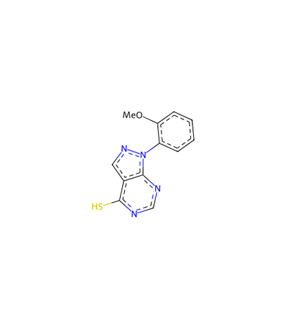 COc1ccccc1-n1ncc2c(S)ncnc21